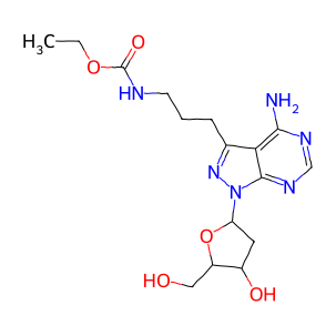 CCOC(=O)NCCCc1nn(C2CC(O)C(CO)O2)c2ncnc(N)c12